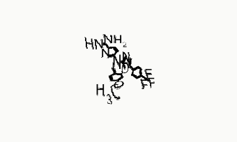 COc1ccc(CN(c2ccc(C(=N)N)nc2)c2ncc(-c3ccc(C(F)(F)F)cc3)o2)cc1